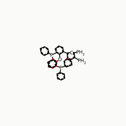 Pc1ccc(-c2cccc(P(c3ccccc3)c3ccccc3)c2Oc2ccccc2P(c2ccccc2)c2ccccc2)cc1P